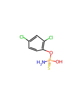 NP(O)(=S)Oc1ccc(Cl)cc1Cl